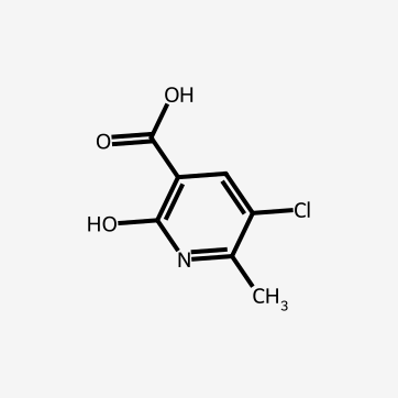 Cc1nc(O)c(C(=O)O)cc1Cl